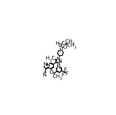 Cc1c(-c2cc(OC(C)c3cncc(C(F)(F)F)c3)c3c(C#N)cnn3c2)nnn1C1CCN(C(=O)OC(C)(C)C)CC1